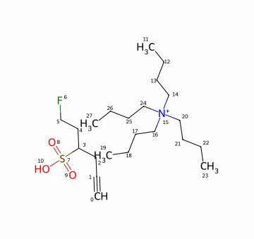 C#CCC(CCF)S(=O)(=O)O.CCCC[N+](CCCC)(CCCC)CCCC